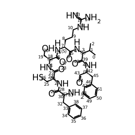 CC(C)[C@H](NC(=O)[C@H](CCCNC(=N)N)NC(=O)[C@H](CO)NC(=O)[C@H](CS)NC(=O)[C@@H](N)Cc1ccccc1)C(=O)N[C@H](C=O)Cc1ccccc1